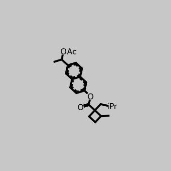 CC(=O)OC(C)c1ccc2cc(OC(=O)C3(CC(C)C)CCC3C)ccc2c1